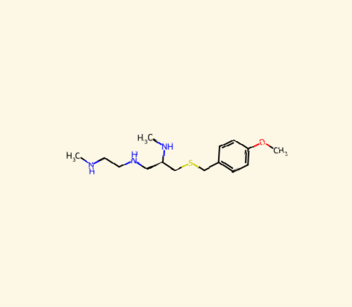 CNCCNC[C@H](CSCc1ccc(OC)cc1)NC